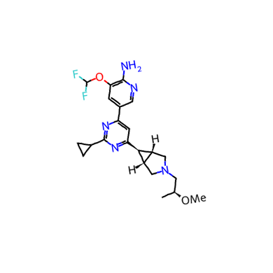 CO[C@@H](C)CN1C[C@@H]2[C@H](C1)[C@H]2c1cc(-c2cnc(N)c(OC(F)F)c2)nc(C2CC2)n1